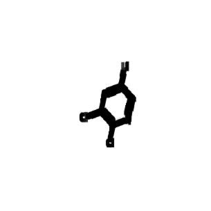 [Li][c]1cnc(Cl)c(Cl)c1